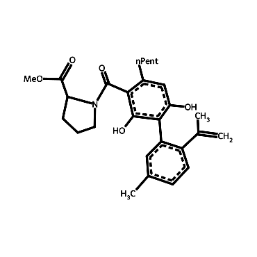 C=C(C)c1ccc(C)cc1-c1c(O)cc(CCCCC)c(C(=O)N2CCCC2C(=O)OC)c1O